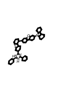 c1ccc(C2=NC(c3ccc4c(c3)sc3cccc(-c5ccc6c(c5)oc5cc(-n7c8ccccc8c8ccccc87)ccc56)c34)NC(c3ccccc3)N2)cc1